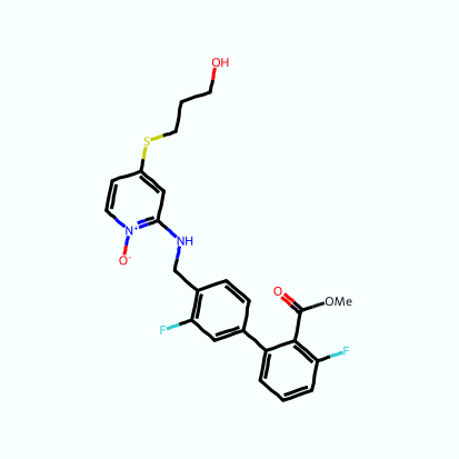 COC(=O)c1c(F)cccc1-c1ccc(CNc2cc(SCCCO)cc[n+]2[O-])c(F)c1